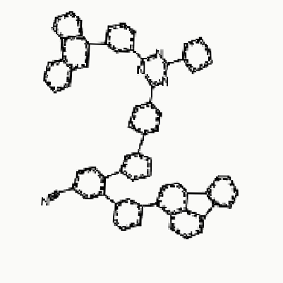 N#Cc1ccc(-c2cccc(-c3ccc(-c4nc(-c5ccccc5)nc(-c5cccc(-c6cc7ccccc7c7ccccc67)c5)n4)cc3)c2)c(-c2cccc(-c3ccc4c5c(cccc35)-c3ccccc3-4)c2)c1